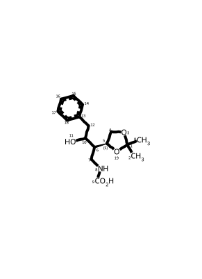 CC1(C)OC[C@H](C(CNC(=O)O)C(O)Cc2ccccc2)O1